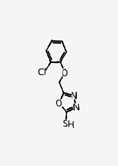 Sc1nnc(COc2ccccc2Cl)o1